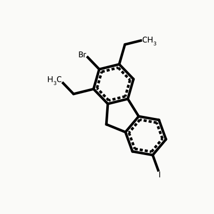 CCc1cc2c(c(CC)c1Br)Cc1cc(I)ccc1-2